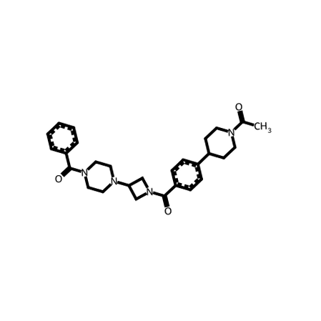 CC(=O)N1CCC(c2ccc(C(=O)N3CC(N4CCN(C(=O)c5ccccc5)CC4)C3)cc2)CC1